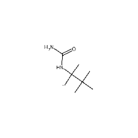 [CH2]C(C)(NC(N)=O)C(C)(C)C